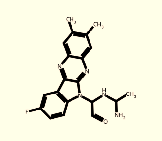 Cc1cc2nc3c4cc(F)ccc4n(C(C=O)NC(C)N)c3nc2cc1C